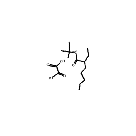 CCCCCC(CC)C(=O)OC(C)(C)C.O=C(O)C(=O)O